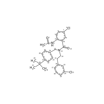 CC(=O)Nc1ccc(Cl)cc1C(=O)N(CCc1cccc(Cl)c1)Cc1ccc(C(C)(C)C)cc1